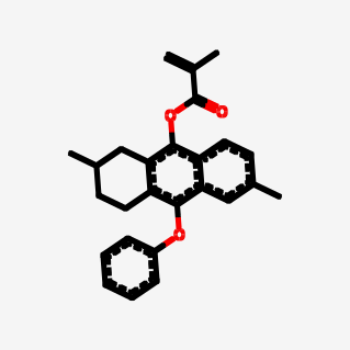 C=C(C)C(=O)Oc1c2c(c(Oc3ccccc3)c3cc(C)ccc13)CCC(C)C2